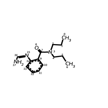 CCCN(CCC)C(=O)c1ccccc1/N=C\N